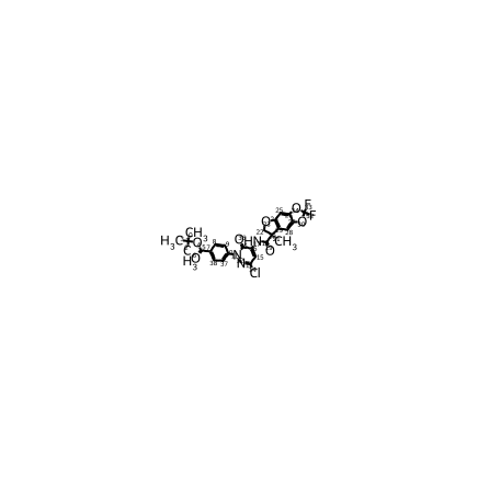 CC(C)(C)OC(=O)c1ccc(-n2nc(Cl)cc(NC(=O)[C@]3(C)COc4cc5c(cc43)OC(F)(F)O5)c2=O)cc1